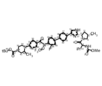 COC(=O)NC(C(=O)N1C[C@@H](C)C[C@H]1c1nc(-c2ccc(-c3ccc(N(OC(F)(F)F)C(=O)c4ccc(N5CCN(C(=O)OC(C)(C)C)CC5C)nc4)c(F)c3)cc2)c[nH]1)C(C)C